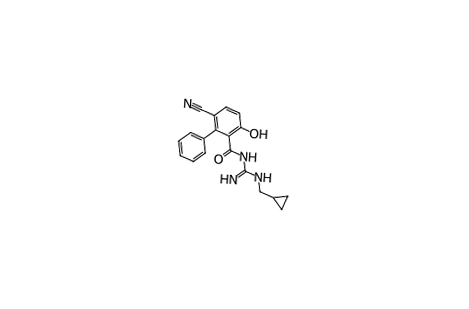 N#Cc1ccc(O)c(C(=O)NC(=N)NCC2CC2)c1-c1ccccc1